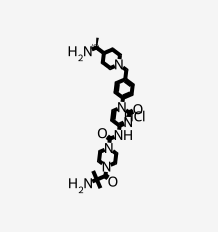 C[C@H](N)C1CCN(Cc2ccc(-n3ccc(NC(=O)N4CCN(C(=O)C(C)(C)N)CC4)nc3=O)cc2)CC1.Cl